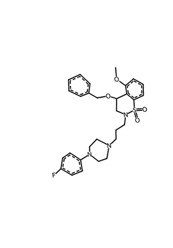 COc1cccc2c1C(OCc1ccccc1)CN(CCCN1CCN(c3ccc(F)cc3)CC1)S2(=O)=O